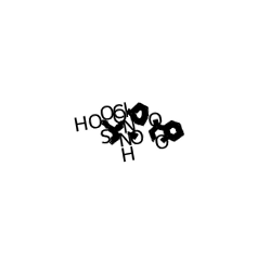 O=C(O)c1scc2[nH]c(=O)n(-c3cc(OC4CCOc5ccccc54)ccc3Cl)c(=O)c12